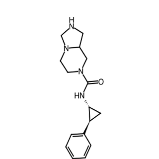 O=C(N[C@@H]1C[C@H]1c1ccccc1)N1CCN2CNCC2C1